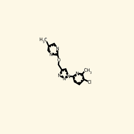 Cc1cnc(OCc2cn(-c3ccc(Cl)c(C)n3)nn2)nc1